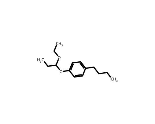 CCCCc1ccc(OC(CC)OCC)cc1